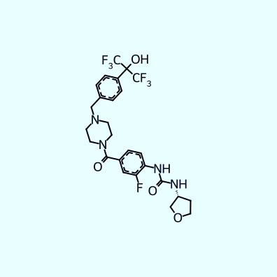 O=C(Nc1ccc(C(=O)N2CCN(Cc3ccc(C(O)(C(F)(F)F)C(F)(F)F)cc3)CC2)cc1F)N[C@@H]1CCOC1